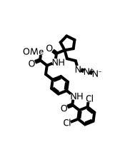 COC(=O)C(Cc1ccc(NC(=O)c2c(Cl)cccc2Cl)cc1)NC(=O)C1(CCN=[N+]=[N-])CCCC1